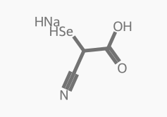 N#CC([SeH])C(=O)O.[NaH]